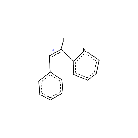 I/C(=C/c1ccccc1)c1ccccn1